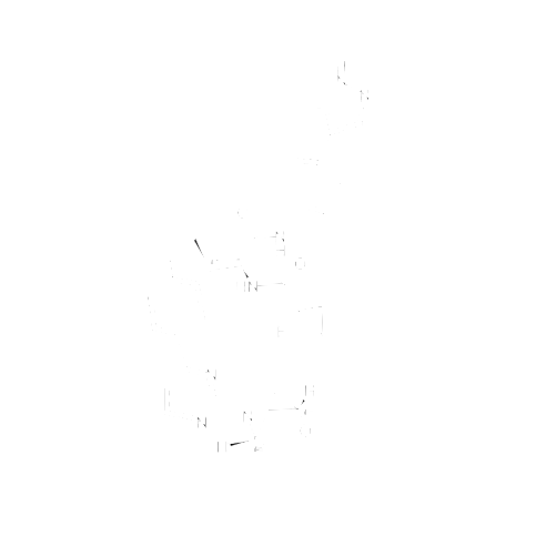 Cc1n[nH]c(C)c1-c1ccc(NC(=O)[C@@H](NC(=O)C2(F)CC2)[C@@H]2CCc3ccc(-c4ccnc(N5C[C@H]6C[C@@H]5CO6)n4)cc32)cc1